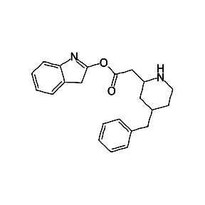 O=C(CC1CC(Cc2ccccc2)CCN1)OC1=Nc2ccccc2C1